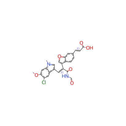 COc1cc2c(cc1Cl)c(/C=C(/C(=O)NC=O)c1coc3cc(/C=C/C(=O)O)ccc13)cn2C